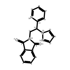 O=C1c2ccccc2C(=O)N1CC(c1ccccn1)n1cccn1